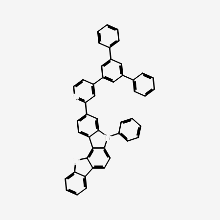 c1ccc(-c2cc(-c3ccccc3)cc(-c3ccnc(-c4ccc5c6c7oc8ccccc8c7ccc6n(-c6ccccc6)c5c4)c3)c2)cc1